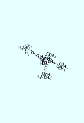 CC(C)(C)OCCCCCN(C(C)(C)C)C(C)(C)N(CCOCCOC(C)(C)C)C(C)(C)NCCOCCOCCOC(C)(C)C